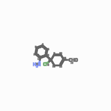 Nc1ccccc1C1(Cl)C=CC(C=O)=CC1